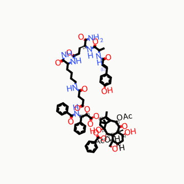 CC(=O)O[C@H]1C(=O)[C@@]2(C)[C@H]([C@H](OC(=O)c3ccccc3)[C@]3(O)C[C@H](OC(=O)[C@H](OC(=O)CCC(=O)NCCCCC(NC(=O)CC[C@H](NC(=O)C(C)NC(=O)/C=C/c4ccc(O)cc4)C(N)=O)C(N)=O)[C@H](NC(=O)c4ccccc4)c4ccccc4)C(C)=C1C3(C)C)[C@]1(OC(C)=O)CO[C@@H]1C[C@@H]2O